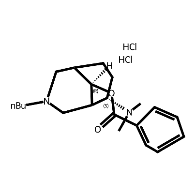 CCCCN1CC2CC[C@H](N(C)C)C(C1)[C@@H]2OC(=O)c1ccccc1.Cl.Cl